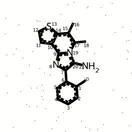 Cc1ccccc1-c1nc2c3ccsc3c(C)c(C)n2c1N